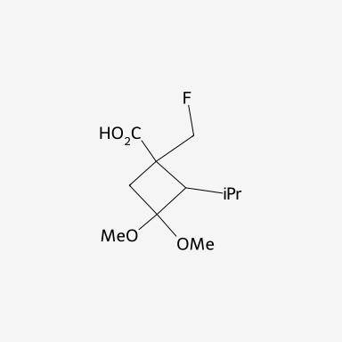 COC1(OC)CC(CF)(C(=O)O)C1C(C)C